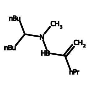 C=C(BN(C)C(CCCC)CCCC)CCC